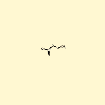 COO[N+](=O)[O-]